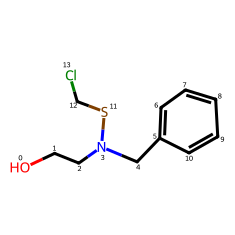 OCCN(Cc1ccccc1)SCCl